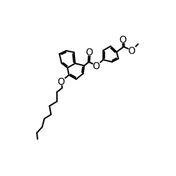 CCCCCCCCCOc1ccc(C(=O)Oc2ccc(C(=O)OC)cc2)c2ccccc12